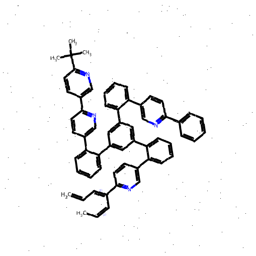 C=C/C=C(\C=C/C)c1ccc(-c2ccccc2-c2cc(-c3ccccc3-c3ccc(-c4ccccc4)nc3)cc(-c3ccccc3-c3ccc(-c4ccc(C(C)(C)C)nc4)nc3)c2)cn1